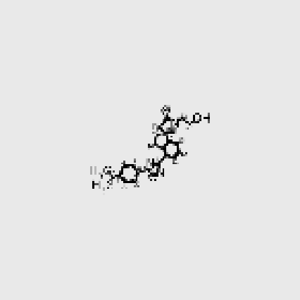 CC(C)c1ccc(-c2nc(-c3cccc4c3CC[C@]43CC(=O)N(CCO)C3)no2)cc1